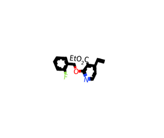 C=Cc1ccnc(OCc2ccccc2F)c1C(=O)OCC